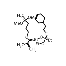 C=C(C)C(=O)OCCC[Si](C)(OC)OC.CCO[Si](CC)(OCC)OCCC1CC=CCC1